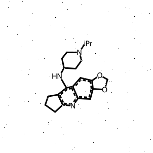 CC(C)N1CCC(Nc2c3c(nc4cc5c(cc24)OCO5)CCC3)CC1